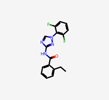 CCc1ccccc1C(=O)Nc1ncn(-c2c(F)cccc2F)n1